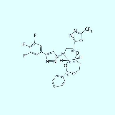 Fc1cc(-c2cn([C@@H]3C[C@H](c4nnc(C(F)(F)F)o4)O[C@@H]4CCO[C@H](c5ccccc5)O[C@H]34)nn2)cc(F)c1F